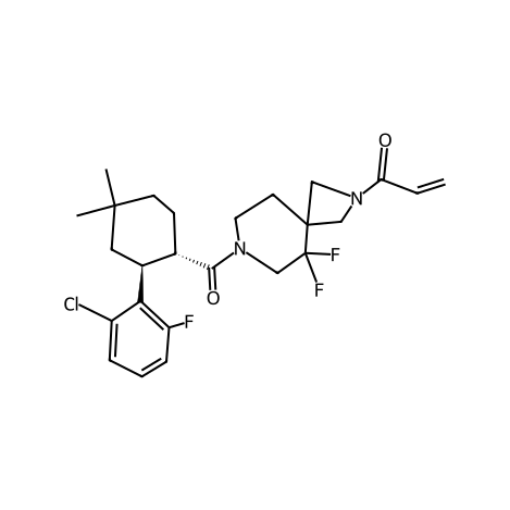 C=CC(=O)N1CC2(CCN(C(=O)[C@H]3CCC(C)(C)C[C@@H]3c3c(F)cccc3Cl)CC2(F)F)C1